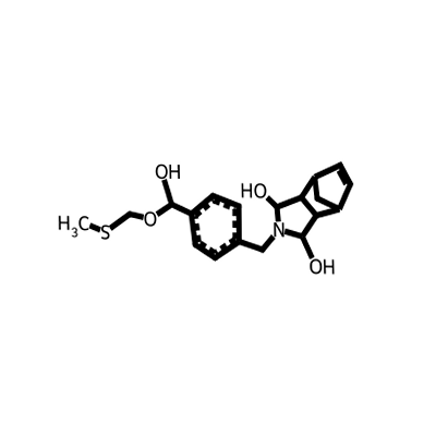 CSCOC(O)c1ccc(CN2C(O)C3C4C=CC(C4)C3C2O)cc1